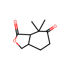 CC1(C)C(=O)CCC2COC(=O)C21